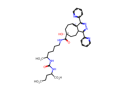 O=C(O)CCC(NC(=O)NC(CCCCNC(=O)[C@@]1(O)CC/C=C2/C(c3ccccn3)=NN=C(c3ccccn3)C2CC1)C(=O)O)C(=O)O